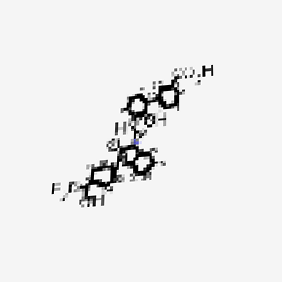 O=C(O)c1cccc(-c2cccc(N/N=C3\C(=O)N(c4ccc(C(O)C(F)(F)F)cc4)c4ccccc43)c2O)c1